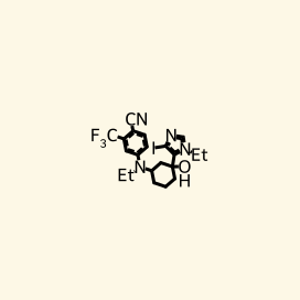 CCN(c1ccc(C#N)c(C(F)(F)F)c1)C1CCCC(O)(c2c(I)ncn2CC)C1